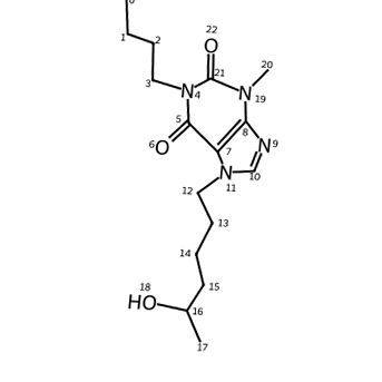 CCCCn1c(=O)c2c(ncn2CCCCC(C)O)n(C)c1=O